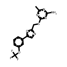 Cc1nc(N)nc(SCc2ncc(-c3cccc(OC(F)(F)F)c3)o2)n1